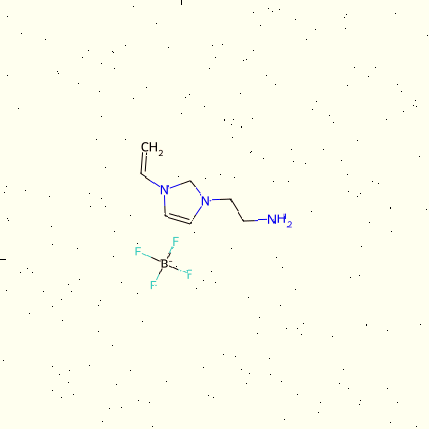 C=CN1C=CN(CCN)C1.F[B-](F)(F)F